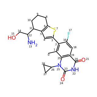 Cc1c(-c2cc3c(s2)CCCC3C(N)CO)c(F)cc2c(=O)[nH]c(=O)n(C3CC3)c12